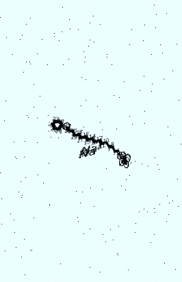 O=P([O-])([O-])OOCCCCCCCCCCCCCCCCOc1ccccc1.[Na+].[Na+]